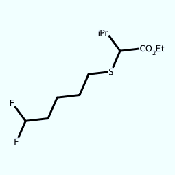 CCOC(=O)C(SCCCCC(F)F)C(C)C